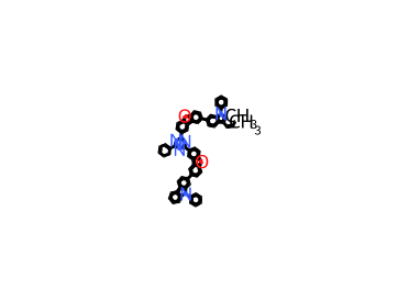 C/C=C\c1c(C)n(-c2ccccc2)c2cc(-c3ccc4oc5ccc(-c6nc(C7=CC=CCC7)nc(-c7ccc8oc9ccc(-c%10ccc%11c%12ccccc%12n(-c%12ccccc%12)c%11c%10)cc9c8c7)n6)cc5c4c3)ccc12